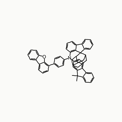 CC1(C)c2ccccc2-c2ccc(N(c3ccc(-c4cccc5c4oc4ccccc45)cc3)c3cccc4c3C3(c5ccccc5-4)C4CC5CC(C4)CC3C5)cc21